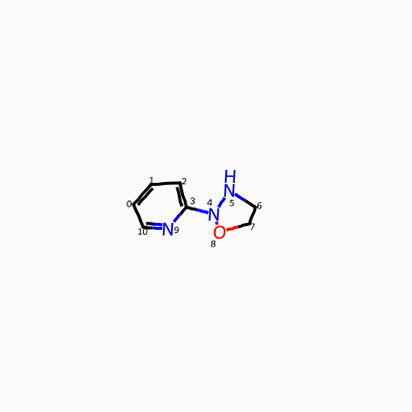 c1ccc(N2NCCO2)nc1